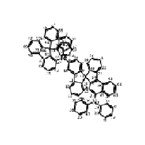 c1ccc(N(c2ccc3c(c2)-c2ccccc2C32c3ccccc3-c3c2cc(N(c2ccccc2)c2ccccc2)c2ccccc32)c2cccc3c2C(c2ccccc2)(c2ccccc2)c2ccccc2-3)cc1